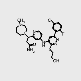 CN1CCCN(C(CC(N)=O)c2cc(Nc3cc(-c4cc(Cl)ccc4F)nnc3SCCO)ccn2)CC1